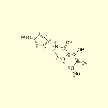 COc1ccc(CN2CCOC(C(O)C(=O)OC(C)(C)C)C2=O)cc1